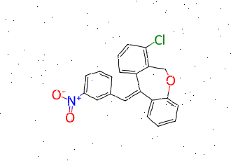 O=[N+]([O-])c1cccc(C=C2c3ccccc3OCc3c(Cl)cccc32)c1